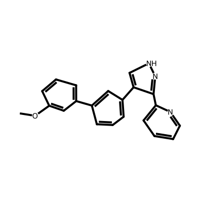 COc1cccc(-c2cccc(-c3c[nH]nc3-c3ccccn3)c2)c1